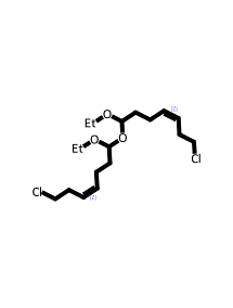 CCOC(CC/C=C\CCCl)OC(CC/C=C\CCCl)OCC